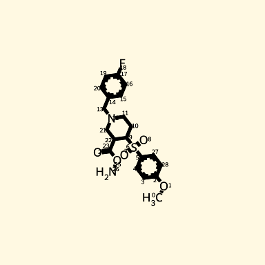 COc1ccc(S(=O)(=O)C2CCN(Cc3ccc(F)cc3)CC2C(=O)ON)cc1